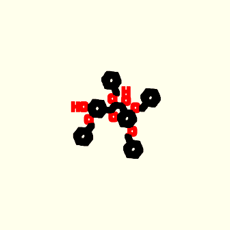 Oc1ccc(C2Oc3cc(OCc4ccccc4)cc(OCc4ccccc4)c3C(O)C2OCc2ccccc2)cc1OCc1ccccc1